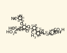 Cc1c(COc2cc(OCc3cncc(C#N)c3)c(CN[C@@H](CO)C(=O)O)cc2Cl)cccc1-c1cccc2c1CCN2CCCN1CCC(O)(C(=O)O)CC1